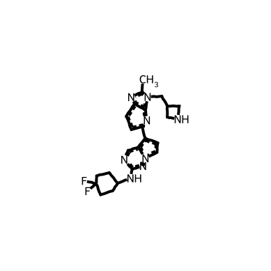 Cc1nc2ccc(-c3ccn4nc(NC5CCC(F)(F)CC5)ncc34)nc2n1CC1CNC1